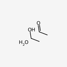 CC=O.CCO.O